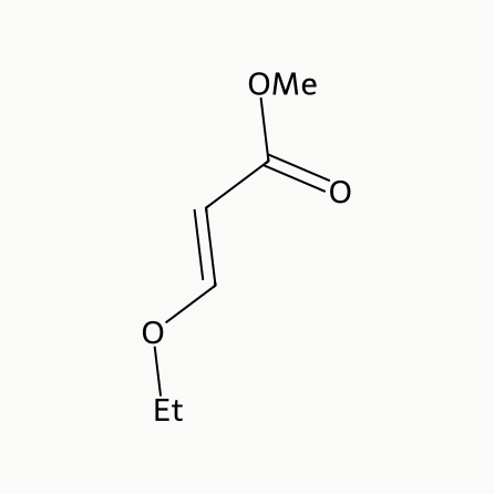 CCOC=CC(=O)OC